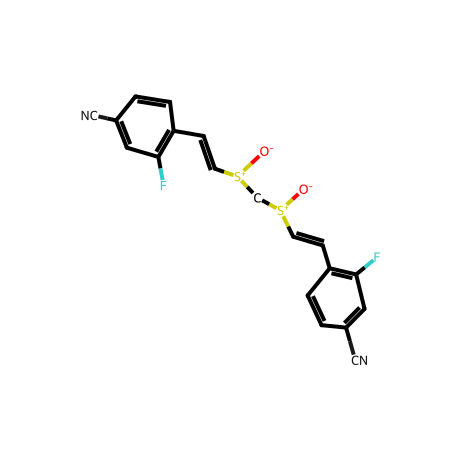 N#Cc1ccc(C=C[S+]([O-])C[S+]([O-])C=Cc2ccc(C#N)cc2F)c(F)c1